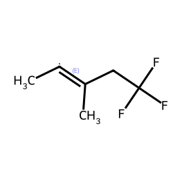 C/[C]=C(\C)CC(F)(F)F